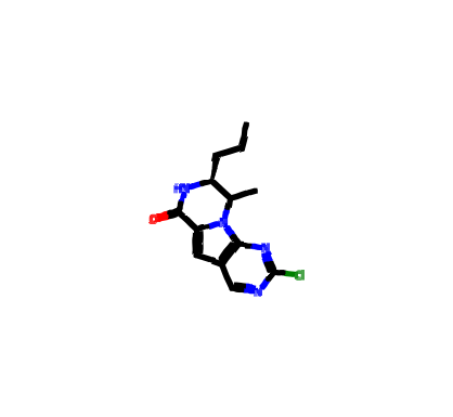 CCC[C@@H]1NC(=O)c2cc3cnc(Cl)nc3n2C1C